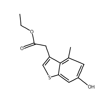 CCOC(=O)Cc1csc2cc(O)cc(C)c12